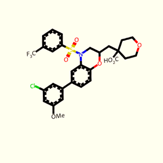 COc1cc(Cl)cc(-c2ccc3c(c2)N(S(=O)(=O)c2cccc(C(F)(F)F)c2)CC(CC2(C(=O)O)CCOCC2)O3)c1